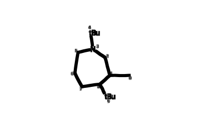 CC1CN(C(C)(C)C)CCCC1C(C)(C)C